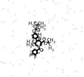 CC(C)OC(=O)C1=CN(C(=O)c2ccc(F)c(F)c2)CC(C)(C)c2c1[nH]c1cc(OC(=O)OC(C)(C)C)ccc21